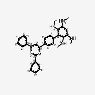 CNc1cc(NC)c(NC)c(-c2ccc(-c3cc(-c4ccccc4)nc(-c4ccccc4)n3)cc2)c1NC